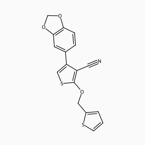 N#Cc1c(-c2ccc3c(c2)OCO3)csc1OCc1cccs1